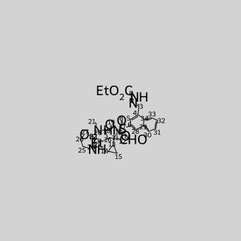 CCOC(=O)NN=Cc1cc(S(=O)(=O)NC([C]=O)(C2CC2)C(CC)C(=O)N(C)[C@@H]2CNCCO2)cc2ccccc12